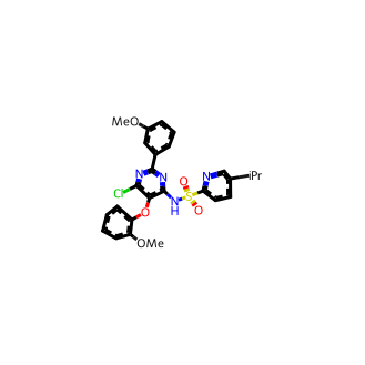 COc1cccc(-c2nc(Cl)c(Oc3ccccc3OC)c(NS(=O)(=O)c3ccc(C(C)C)cn3)n2)c1